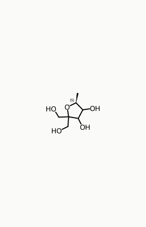 C[C@@H]1OC(CO)(CO)C(O)C1O